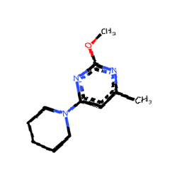 COc1nc(C)cc(N2CCCCC2)n1